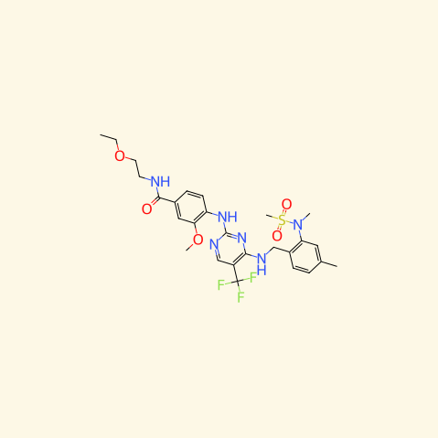 CCOCCNC(=O)c1ccc(Nc2ncc(C(F)(F)F)c(NCc3ccc(C)cc3N(C)S(C)(=O)=O)n2)c(OC)c1